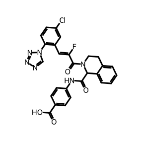 O=C(O)c1ccc(NC(=O)C2c3ccccc3CCN2C(=O)C(F)=Cc2cc(Cl)ccc2-n2cnnn2)cc1